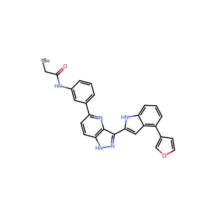 CC(C)(C)CC(=O)Nc1cccc(-c2ccc3[nH]nc(-c4cc5c(-c6ccoc6)cccc5[nH]4)c3n2)c1